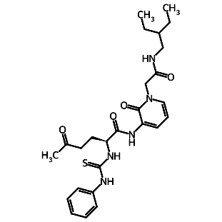 CCC(CC)CNC(=O)Cn1cccc(NC(=O)[C@H](CCC(C)=O)NC(=S)Nc2ccccc2)c1=O